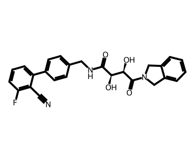 N#Cc1c(F)cccc1-c1ccc(CNC(=O)[C@H](O)[C@@H](O)C(=O)N2Cc3ccccc3C2)cc1